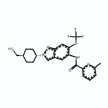 Cc1cccc(C(=O)Nc2cc3cn([C@H]4CC[C@H](CO)CC4)nc3cc2OC(F)(F)F)n1